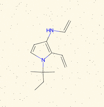 C=CNc1ccn(C(C)(C)CC)c1C=C